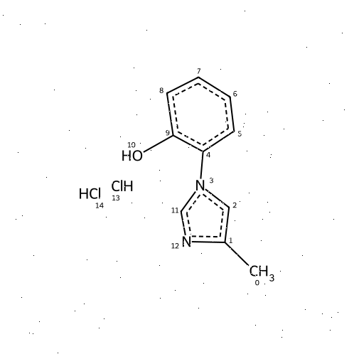 Cc1cn(-c2ccccc2O)cn1.Cl.Cl